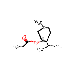 CCC(=O)O[C@H]1C[C@H](C)CCC1C(C)C